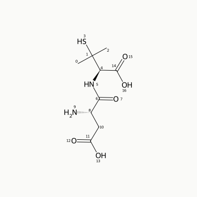 CC(C)(S)[C@H](NC(=O)[C@@H](N)CC(=O)O)C(=O)O